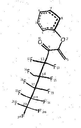 C=C(Oc1ccccc1)C(=O)C(F)(F)C(F)(F)C(F)(F)C(F)(F)C(F)(F)F